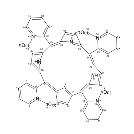 CCCCCCCC[n+]1ccccc1-c1c2nc(c(-c3cccc[n+]3CCCCCCCC)c3ccc([nH]3)c(-c3cccc[n+]3CCCCCCCC)c3nc(c(-c4cccc[n+]4CCCCCCCC)c4ccc1[nH]4)C=C3)C=C2